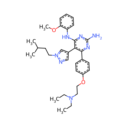 CCN(CC)CCOc1ccc(-c2nc(N)nc(Nc3ccccc3OC)c2-c2cnn(CCC(C)C)c2)cc1